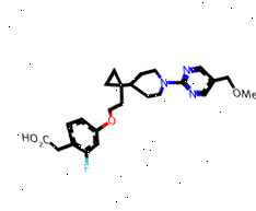 COCc1cnc(N2CCC(C3(CCOc4ccc(CC(=O)O)c(F)c4)CC3)CC2)nc1